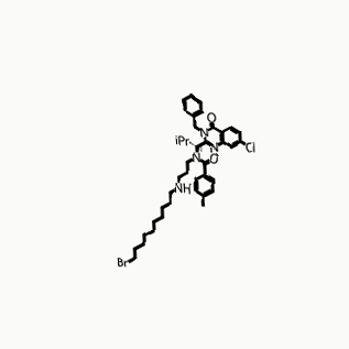 Cc1ccc(C(=O)N(CCCNCCCCCCCCCCBr)[C@@H](c2nc3cc(Cl)ccc3c(=O)n2Cc2ccccc2)C(C)C)cc1